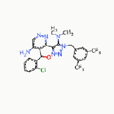 CN(C)c1c(-c2nncc(N)c2C(=O)c2ccccc2Cl)nnn1Cc1cc(C(F)(F)F)cc(C(F)(F)F)c1